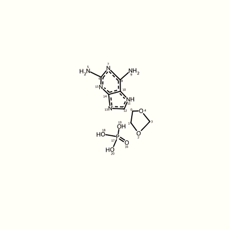 C1COCO1.Nc1nc(N)c2[nH]cnc2n1.O=P(O)(O)O